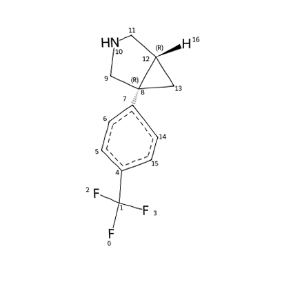 FC(F)(F)c1ccc([C@]23CNC[C@@H]2C3)cc1